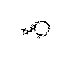 CC(=Cc1csc(C)n1)C1CCC(=O)CCCCOCC=CCCOC1=O